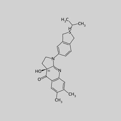 Cc1cc2c(cc1C)C(=O)[C@]1(O)CCN(c3ccc4c(c3)C[SH](C(C)C)C4)C1=N2